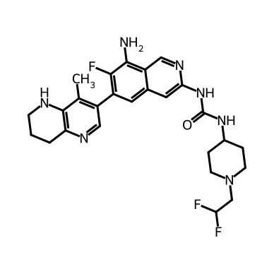 Cc1c(-c2cc3cc(NC(=O)NC4CCN(CC(F)F)CC4)ncc3c(N)c2F)cnc2c1NCCC2